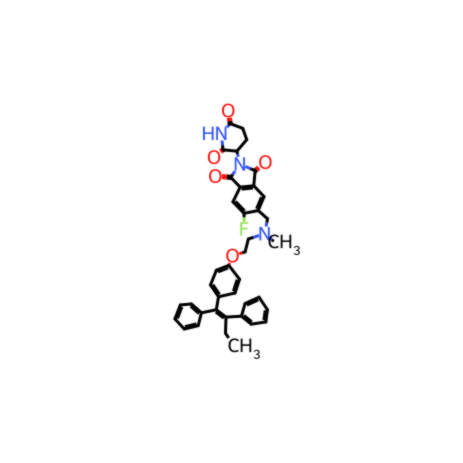 CCC(=C(c1ccccc1)c1ccc(OCCN(C)Cc2cc3c(cc2F)C(=O)N(C2CCC(=O)NC2=O)C3=O)cc1)c1ccccc1